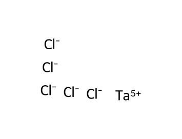 [Cl-].[Cl-].[Cl-].[Cl-].[Cl-].[Ta+5]